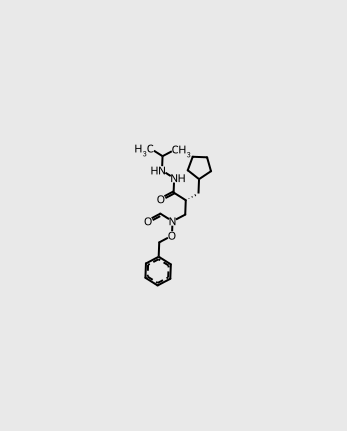 CC(C)NNC(=O)[C@H](CC1CCCC1)CN(C=O)OCc1ccccc1